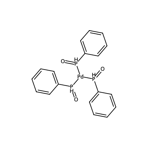 O=[PH](c1ccccc1)[Pd]([PH](=O)c1ccccc1)[PH](=O)c1ccccc1